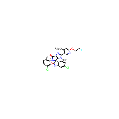 COc1cc(OCCF)ncc1-c1nc2c(n1C(C)C)C1(C(=O)Nc3cc(Cl)ccc31)N(c1cc(Cl)ccc1C)C2=O